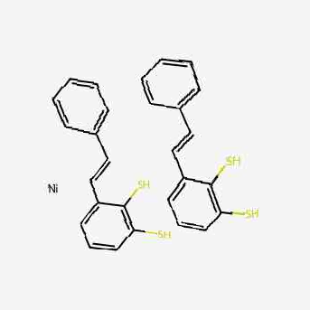 Sc1cccc(C=Cc2ccccc2)c1S.Sc1cccc(C=Cc2ccccc2)c1S.[Ni]